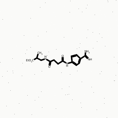 CCOC(=O)C(C)CNC(=O)CCC(=O)Nc1ccc(C(=N)N)cc1